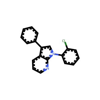 Clc1ccccc1-n1cc(-c2ccccc2)c2cccnc21